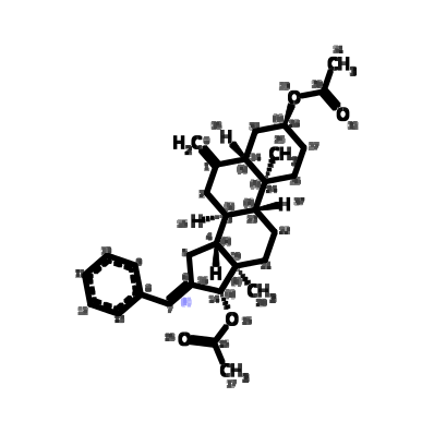 C=C1C[C@@H]2[C@H]3C/C(=C\c4ccccc4)[C@@H](OC(C)=O)[C@]3(C)CC[C@H]2[C@]2(C)CC[C@H](OC(C)=O)C[C@@H]12